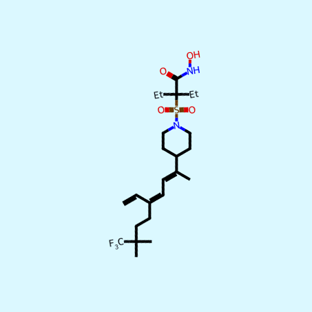 C=C/C(=C\C=C(/C)C1CCN(S(=O)(=O)C(CC)(CC)C(=O)NO)CC1)CCC(C)(C)C(F)(F)F